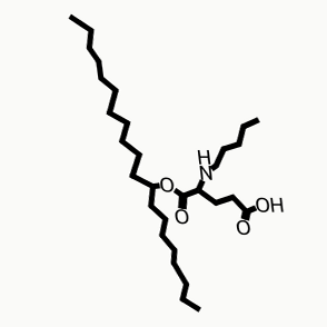 CCCCCCCCCCCC(CCCCCCCC)OC(=O)C(CCC(=O)O)NCCCCC